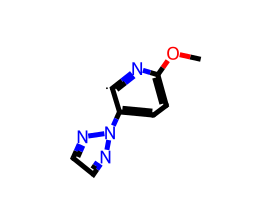 COc1ccc(-n2nccn2)[c]n1